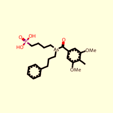 COc1cc(C(=O)[As](CCCCP(=O)(O)O)CCCc2ccccc2)cc(OC)c1C